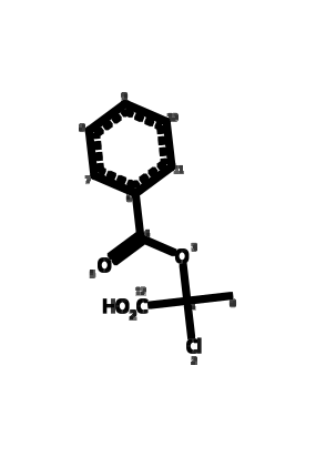 CC(Cl)(OC(=O)c1ccccc1)C(=O)O